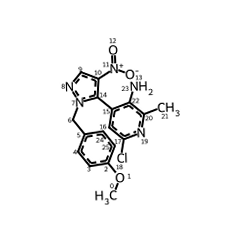 COc1ccc(Cn2ncc([N+](=O)[O-])c2-c2cc(Cl)nc(C)c2N)cc1